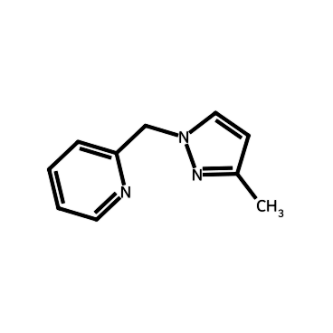 Cc1ccn(Cc2ccccn2)n1